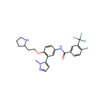 Cn1nccc1-c1cc(NC(=O)c2ccc(F)c(C(F)(F)F)c2)ccc1OCCC1CCCN1